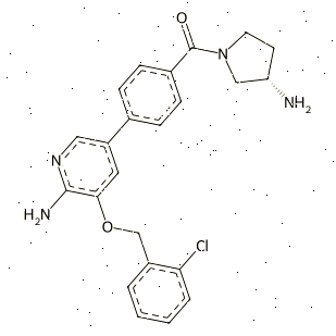 Nc1ncc(-c2ccc(C(=O)N3CC[C@H](N)C3)cc2)cc1OCc1ccccc1Cl